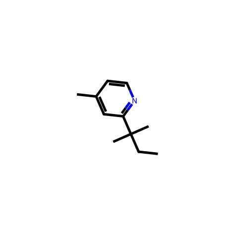 CCC(C)(C)c1cc(C)ccn1